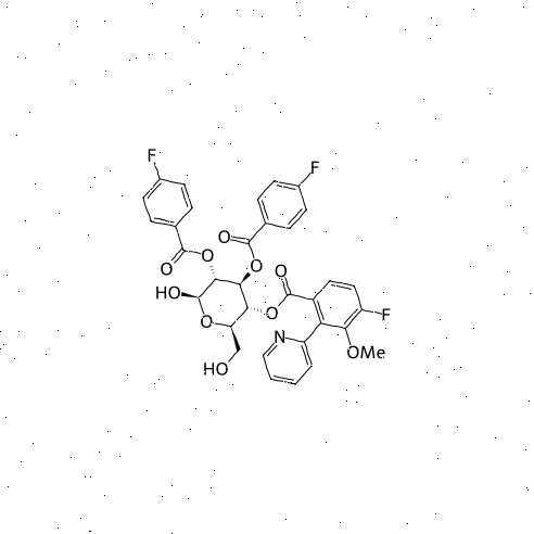 COc1c(F)ccc(C(=O)O[C@H]2[C@H](OC(=O)c3ccc(F)cc3)[C@@H](OC(=O)c3ccc(F)cc3)[C@H](O)O[C@@H]2CO)c1-c1ccccn1